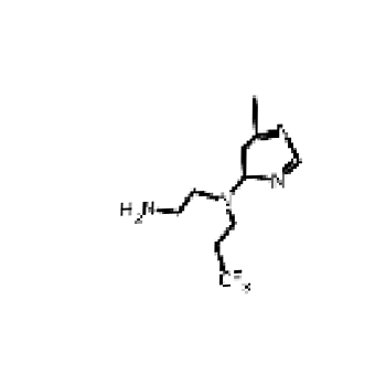 CC1=NC=NC(N(CCN)CCC(F)(F)F)C1